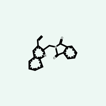 C=Cc1cc2ccccc2nc1CN1C(=O)c2ccccc2C1=O